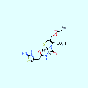 CC(=O)CC(=O)OCC1=C(C(=O)O)N2C(=O)[C@@H](NC(=O)Cc3csc(=N)[nH]3)[C@H]2SC1